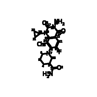 NC(=O)C1CCCN(c2c(F)cc3c(=O)n(N)c(=O)n(C4CC4)c3c2Cl)C1